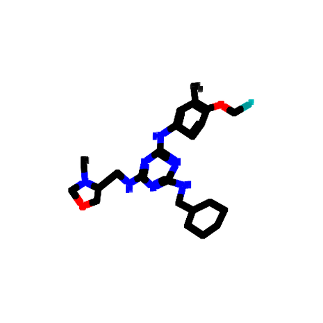 CCN1COCC1CNc1nc(NCC2CCCCC2)nc(Nc2ccc(OCF)c(C(F)(F)F)c2)n1